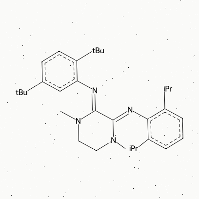 CC(C)c1cccc(C(C)C)c1N=C1C(=Nc2cc(C(C)(C)C)ccc2C(C)(C)C)N(C)CCN1C